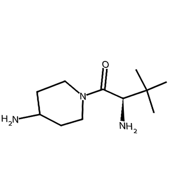 CC(C)(C)[C@@H](N)C(=O)N1CCC(N)CC1